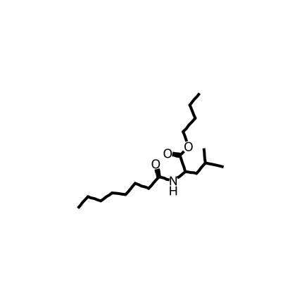 CCCCCCCC(=O)NC(CC(C)C)C(=O)OCCCC